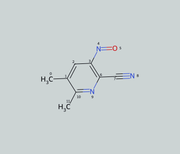 Cc1cc(N=O)c(C#N)nc1C